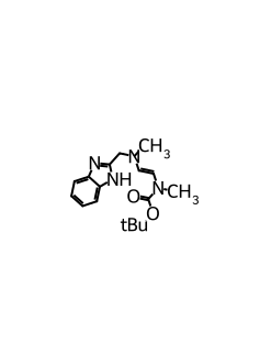 CN(/C=C/N(C)C(=O)OC(C)(C)C)Cc1nc2ccccc2[nH]1